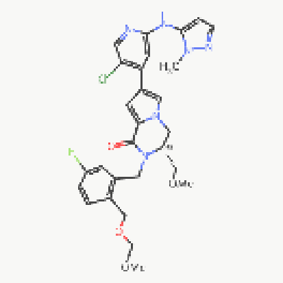 COCOCc1ccc(F)cc1CN1C(=O)c2cc(-c3cc(Nc4ccnn4C)ncc3Cl)cn2C[C@@H]1COC